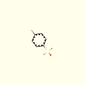 C[SH](C)(=O)c1ccc(Br)cc1